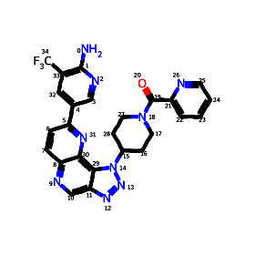 Nc1ncc(-c2ccc3ncc4nnn(C5CCN(C(=O)c6ccccn6)CC5)c4c3n2)cc1C(F)(F)F